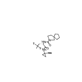 C#CC1(NC(=O)[C@H](CC(C)(F)F)NC(=O)N2CCC3(CCCC3)C2)CC1